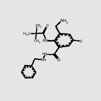 CC(C)(C)C(=O)Nc1c(CN)cc(Cl)cc1C(=O)NNCc1ccccc1